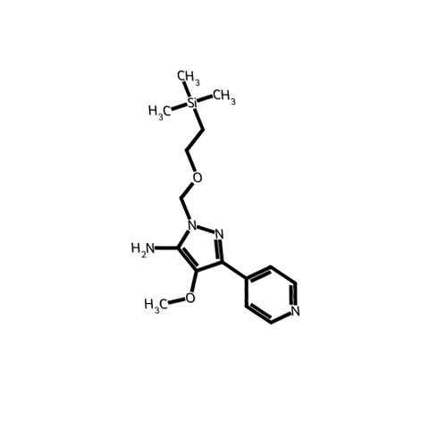 COc1c(-c2ccncc2)nn(COCC[Si](C)(C)C)c1N